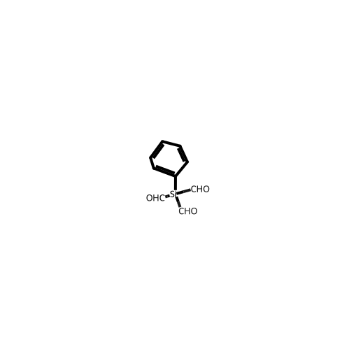 O=C[Si](C=O)(C=O)c1ccccc1